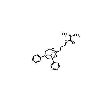 C=C(C)C(=O)OCCC[Si]12OCC[N+](c3ccccc3)(CCO1)CC(c1ccccc1)O2